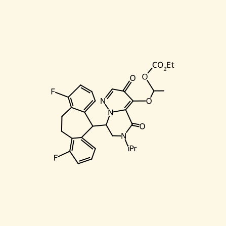 CCOC(=O)OC(C)Oc1c2n(ncc1=O)C(C1c3cccc(F)c3CCc3c(F)cccc31)CN(C(C)C)C2=O